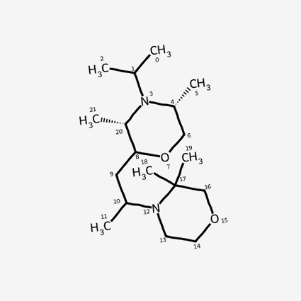 CC(C)N1[C@H](C)COC(CC(C)N2CCOCC2(C)C)[C@@H]1C